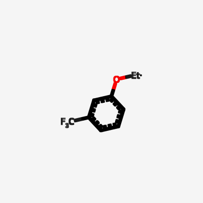 C[CH]Oc1cccc(C(F)(F)F)c1